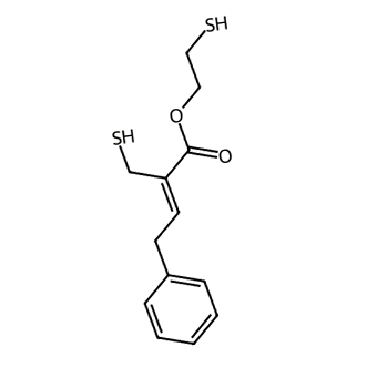 O=C(OCCS)C(=CCc1ccccc1)CS